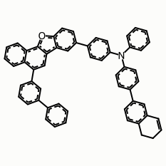 C1=Cc2cc(-c3ccc(N(c4ccccc4)c4ccc(-c5ccc6oc7c8ccccc8c(-c8cccc(-c9ccccc9)c8)cc7c6c5)cc4)cc3)ccc2CC1